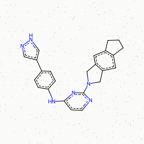 c1cc(Nc2ccc(-c3cn[nH]c3)cc2)nc(N2Cc3cc4c(cc3C2)CCC4)n1